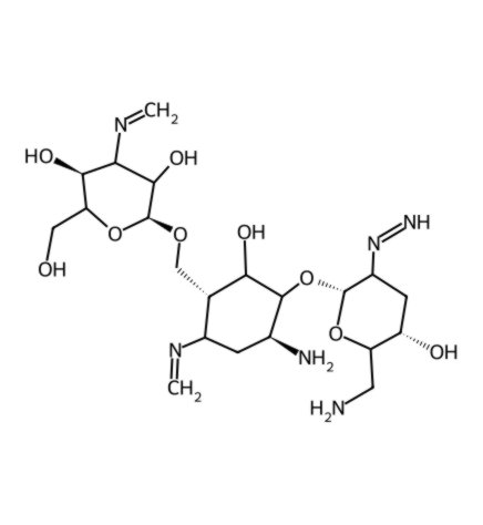 C=NC1C(O)[C@@H](OC[C@H]2C(N=C)C[C@H](N)C(O[C@H]3OC(CN)[C@@H](O)CC3N=N)C2O)OC(CO)[C@H]1O